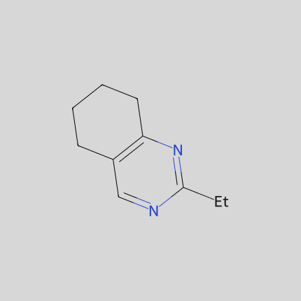 CCc1ncc2c(n1)CCCC2